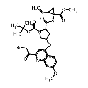 C=C[C@H]1C[C@]1(NC(=O)[C@@H]1C[C@@H](Oc2cc(C(=O)CBr)nc3cc(OC)ccc23)CN1C(=O)OC(C)(C)C)C(=O)OC